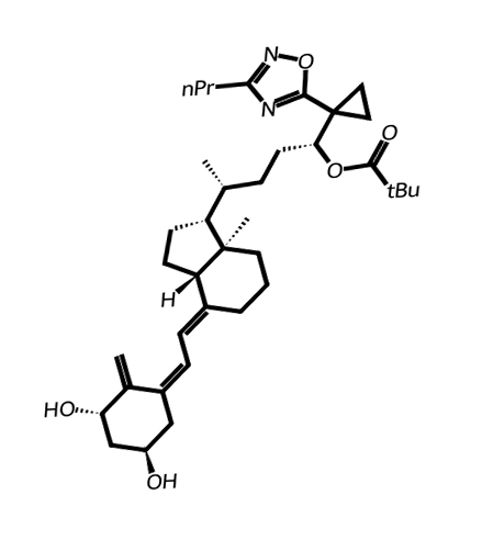 C=C1/C(=C\C=C2/CCC[C@]3(C)[C@@H]([C@H](C)CC[C@@H](OC(=O)C(C)(C)C)C4(c5nc(CCC)no5)CC4)CC[C@@H]23)C[C@@H](O)C[C@@H]1O